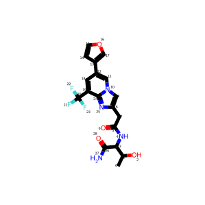 CC(O)C(NC(=O)Cc1cn2cc(-c3ccoc3)cc(C(F)(F)F)c2n1)C(N)=O